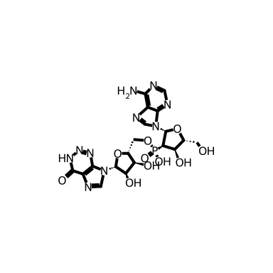 Nc1ncnc2c1ncn2[C@@H]1O[C@H](CO)[C@@H](O)[C@H]1P(=O)(O)OC[C@H]1O[C@@H](n2cnc3c(=O)[nH]nnc32)[C@H](O)[C@@H]1O